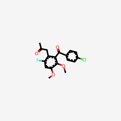 COc1cc(F)c(CC(C)=O)c(C(=O)c2ccc(Cl)cc2)c1OC